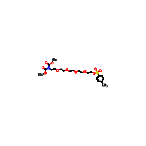 Cc1ccc(S(=O)(=O)OCCOCCOCCOCCOCCN(C(=O)OC(C)(C)C)C(=O)OC(C)(C)C)cc1